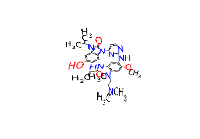 C=CC(=O)Nc1cc(Nc2nccc(-n3c(=O)n(C(C)C)c4cc(O)ccc43)n2)c(OC)cc1N(C)CCN(C)C